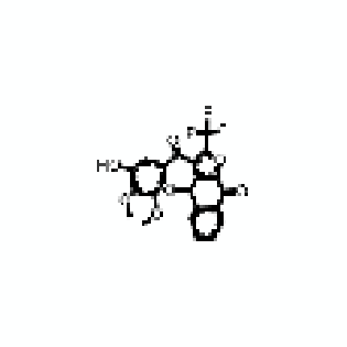 COc1cc(C(=O)c2c(C(F)(F)F)oc3c2C(=O)c2ccccc2C3=O)cc(O)c1OC